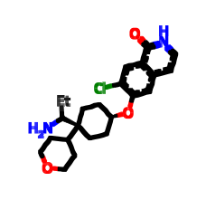 CCC(N)[C@]1(C2CCOCC2)CC[C@H](Oc2cc3cc[nH]c(=O)c3cc2Cl)CC1